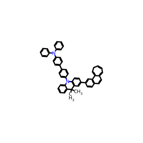 CC1(C)c2ccccc2N(c2ccc(-c3ccc(N(c4ccccc4)c4ccccc4)cc3)cc2)c2ccc(-c3ccc4ccc5c(c4c3)=CCC=CC=5)cc21